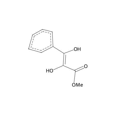 COC(=O)C(O)=C(O)c1ccccc1